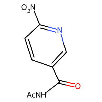 CC(=O)NC(=O)c1ccc([N+](=O)[O-])nc1